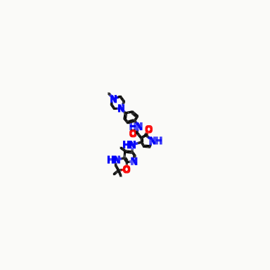 Cc1c(Nc2cc[nH]c(=O)c2C(=O)Nc2ccc(N3CCN(C)CC3)cc2)cnc2c1NCC(C)(C)O2